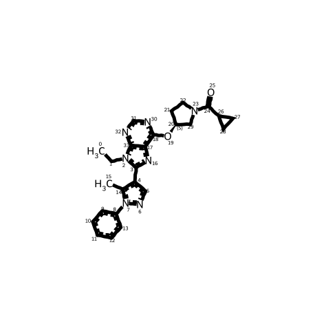 CCn1c(-c2cnn(-c3ccccc3)c2C)nc2c(O[C@H]3CCN(C(=O)C4CC4)C3)ncnc21